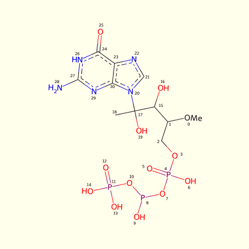 COC(COP(=O)(O)OP(O)OP(=O)(O)O)C(O)C(C)(O)n1cnc2c(=O)[nH]c(N)nc21